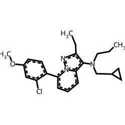 CCCN(CC1CC1)c1c(CC)nn2c(-c3ccc(OC)cc3Cl)cccc12